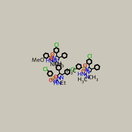 CCNC(=NS(=O)(=O)c1ccc(Cl)cc1)N1CC(c2ccccc2)C(c2ccc(Cl)cc2)=N1.CNC(=N)[N+]1(C)CC(c2ccccc2)C(c2ccc(Cl)cc2)N1S(=O)(=O)c1cccc(OC)c1.Cc1cccc(S(=O)(=O)N2C(c3ccc(Cl)cc3)C(c3ccccc3)CN2C(=N)N(C)C)c1